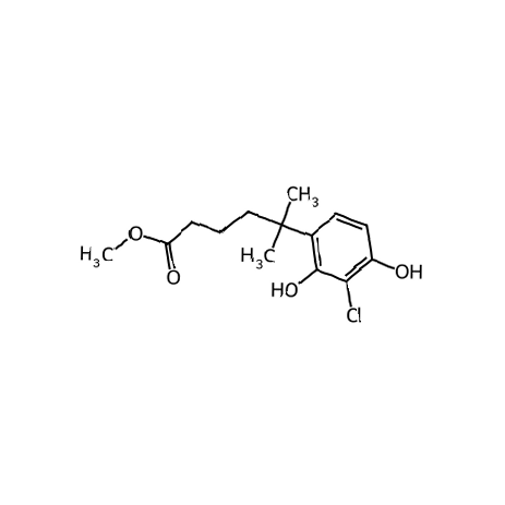 COC(=O)CCCC(C)(C)c1ccc(O)c(Cl)c1O